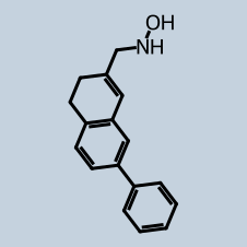 ONCC1=Cc2cc(-c3ccccc3)ccc2CC1